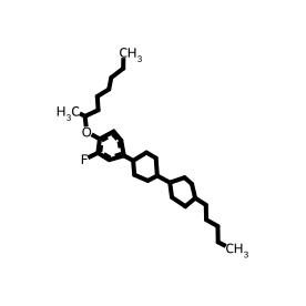 CCCCCCC(C)Oc1ccc(C2CCC(C3CCC(CCCCC)CC3)CC2)cc1F